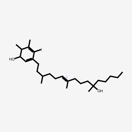 CCCCCC(C)(O)CCC/C(C)=C/CCC(C)CCC1=CC(O)C(C)C(C)=C1I